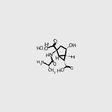 C[C@H](N)C(=O)N[C@@]1(C(=O)O)C[C@H](O)[C@H]2[C@H](C(=O)O)[C@H]21.Cl